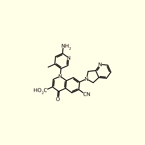 Cc1cc(N)ncc1-n1cc(C(=O)O)c(=O)c2cc(C#N)c(N3Cc4cccnc4C3)cc21